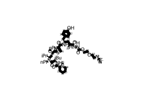 CCCO[C@H](C[C@H](C(C)C)N(CCC)C(=O)[C@@H](NC(=O)[C@H]1CCCCN1C)[C@@H](C)CC)c1nc(C(=O)N[C@@H](Cc2ccc(O)cc2)C[C@H](C)C(=O)NNC(=O)OCCOCCN=[N+]=[N-])cs1